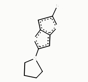 Nc1cc2oc(N3CCCC3)cc2o1